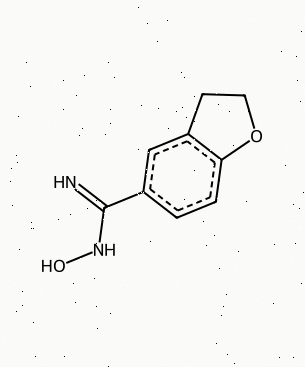 N=C(NO)c1ccc2c(c1)CCO2